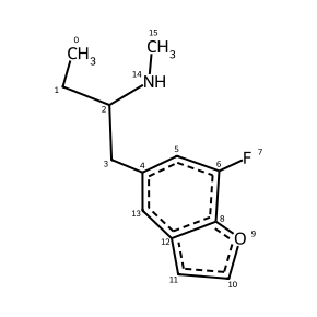 CCC(Cc1cc(F)c2occc2c1)NC